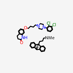 CNCCCC12CCC(c3ccccc31)c1ccccc12.O=C1CCc2ccc(OCCCCN3CCN(c4cccc(Cl)c4Cl)CC3)cc2N1